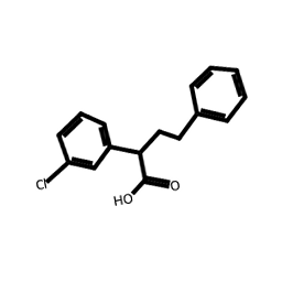 O=C(O)C(CCc1ccccc1)c1cccc(Cl)c1